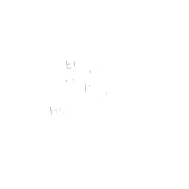 CCOP(=O)(OCC)C(O)Cc1ccccc1